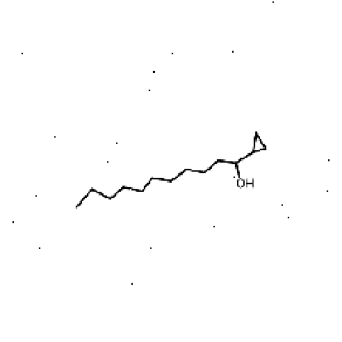 CCCCCCCCCCC(O)C1CC1